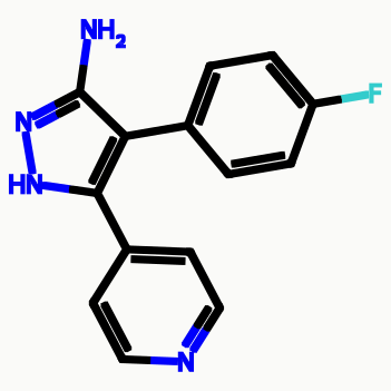 Nc1n[nH]c(-c2ccncc2)c1-c1ccc(F)cc1